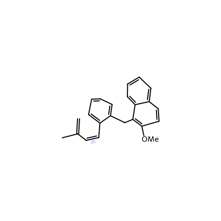 C=C(C)/C=C\c1ccccc1Cc1c(OC)ccc2ccccc12